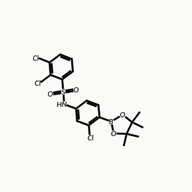 CC1(C)OB(c2ccc(NS(=O)(=O)c3cccc(Cl)c3Cl)cc2Cl)OC1(C)C